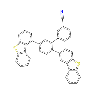 N#Cc1cccc(-c2cc(-c3cccc4sc5ccccc5c34)ccc2-c2ccc3sc4ccccc4c3c2)c1